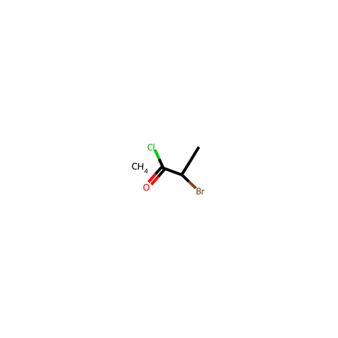 C.CC(Br)C(=O)Cl